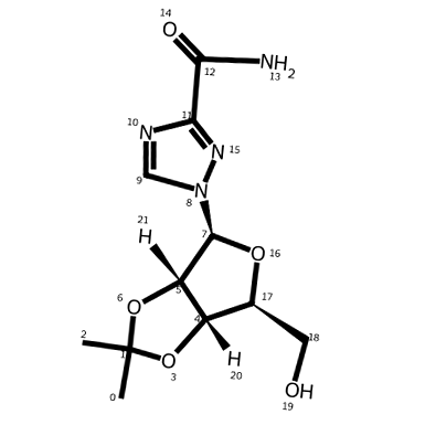 CC1(C)O[C@@H]2[C@H](O1)[C@@H](n1cnc(C(N)=O)n1)O[C@H]2CO